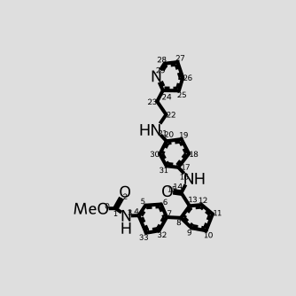 COC(=O)Nc1ccc(-c2ccccc2C(=O)Nc2ccc(NCCc3ccccn3)cc2)cc1